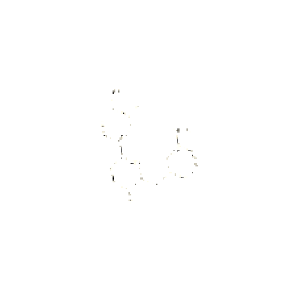 CCc1cc(-c2ccc(=O)n(Cc3cccc(NC(C)=O)c3)n2)ccc1OC